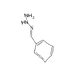 NNN=Cc1ccccc1